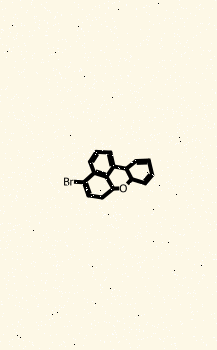 BrC1=CCC2OC3C=CC=CC3c3cccc1c32